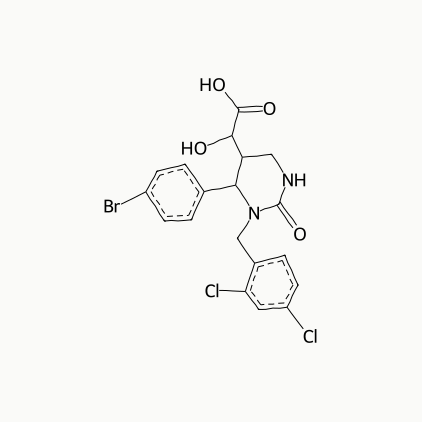 O=C(O)C(O)C1CNC(=O)N(Cc2ccc(Cl)cc2Cl)C1c1ccc(Br)cc1